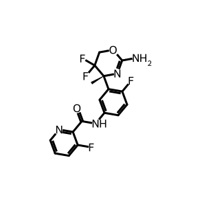 C[C@]1(c2cc(NC(=O)c3ncccc3F)ccc2F)N=C(N)OCC1(F)F